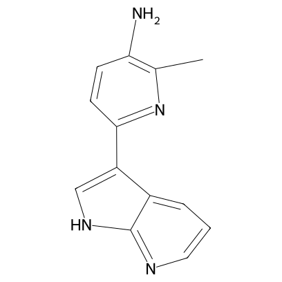 Cc1nc(-c2c[nH]c3ncccc23)ccc1N